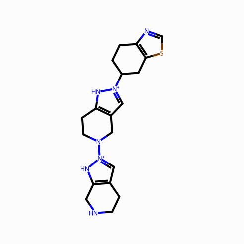 c1nc2c(s1)CC([n+]1cc3c([nH]1)CCN([n+]1cc4c([nH]1)CNCC4)C3)CC2